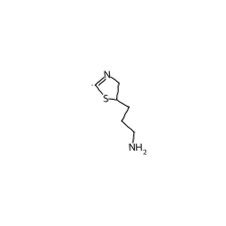 NCCCC1CN=[C]S1